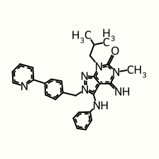 CC(C)Cn1c(=O)n(C)c(=N)c2c(Nc3ccccc3)n(Cc3ccc(-c4ccccn4)cc3)nc21